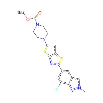 Cn1cc2cc(-c3nc4sc(N5CCN(C(=O)OC(C)(C)C)CC5)cc4s3)cc(F)c2n1